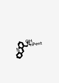 CCCCCN(O)Cc1cccc2nc3ccccc3cc12